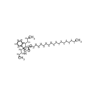 CCCCCCCCCCCCCCCCCCOC(=O)C(CCCC)C(O)(CCCC)c1ccccc1